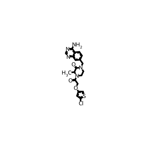 CC1C(=O)N(Cc2ccc3c(N)ncnc3c2)CCN1C(=O)COc1csc(Cl)c1